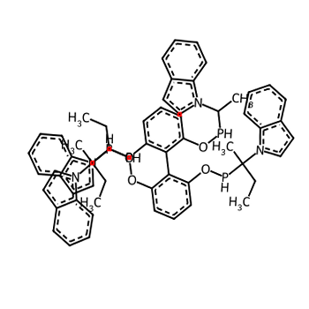 CCC(POc1cccc(OPC(C)(CC)n2ccc3ccccc32)c1-c1c(OPC(C)n2ccc3ccccc32)cccc1OPC(C)(CC)n1ccc2ccccc21)n1ccc2ccccc21